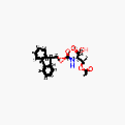 CC(=O)O[C@H](C)[C@H](NC(=O)OCC1c2ccccc2-c2ccccc21)C(=O)O